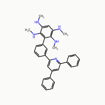 CNc1cc(NC)c(NC)c(-c2cccc(-c3cc(-c4ccccc4)cc(-c4ccccc4)n3)c2)c1NC